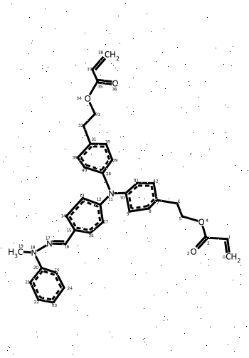 C=CC(=O)OCCc1ccc(N(c2ccc(C=NN(C)c3ccccc3)cc2)c2ccc(CCOC(=O)C=C)cc2)cc1